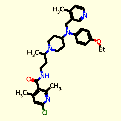 CCOc1ccc(N(Cc2cnccc2C)C2CCN(C(C)CCNC(=O)c3c(C)cc(Cl)nc3C)CC2)cc1